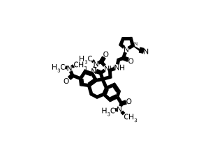 CN(C)C(=O)c1ccc2c(c1)CCc1cc(C(=O)N(C)C)ccc1C2(CCNCC(=O)N1CCC[C@H]1C#N)c1nn(C)c(=O)[nH]1